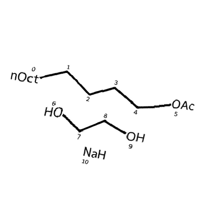 CCCCCCCCCCCCOC(C)=O.OCCO.[NaH]